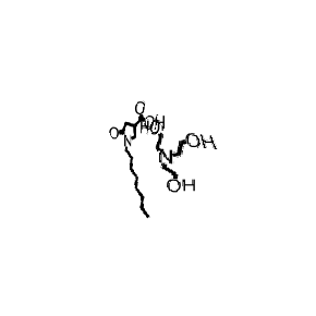 CCCCCCCCN1CC(C(=O)O)CC1=O.OCCN(CCO)CCO